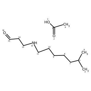 CC(=O)O.CC(C)CCCCCNCCC=O